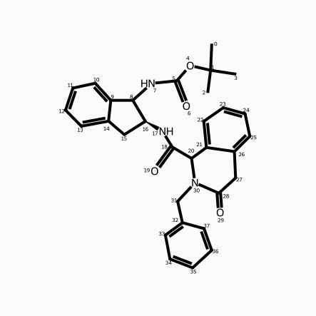 CC(C)(C)OC(=O)NC1c2ccccc2C[C@@H]1NC(=O)C1c2ccccc2CC(=O)N1Cc1ccccc1